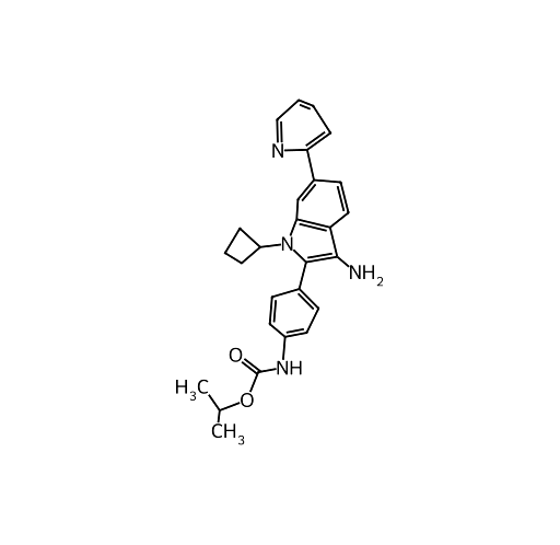 CC(C)OC(=O)Nc1ccc(-c2c(N)c3ccc(-c4ccccn4)cc3n2C2CCC2)cc1